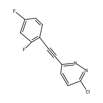 Fc1ccc(C#Cc2ccc(Cl)nn2)c(F)c1